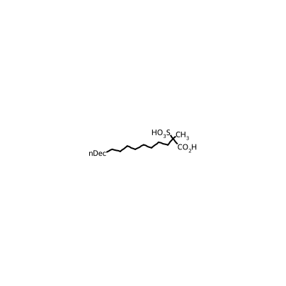 CCCCCCCCCCCCCCCCCCC(C)(C(=O)O)S(=O)(=O)O